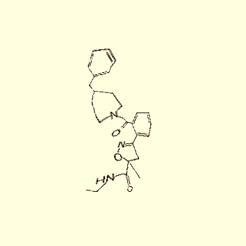 CCNC(=O)C1(C)CC(c2ccccc2C(=O)N2CCC(Cc3ccccc3)CC2)=NO1